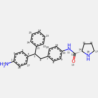 Nc1ccc(C(Cc2ccc(NC(=O)[C@@H]3CCCN3)cc2)c2ccccc2)cc1